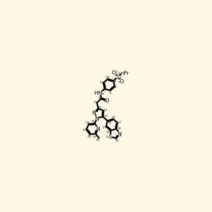 CCCS(=O)(=O)c1ccc(NC(=O)Cc2cc(-c3ccc4ncsc4c3)n(-c3cccc(C)n3)n2)cc1